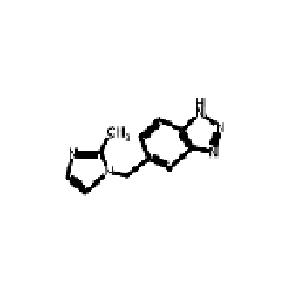 Cc1nccn1Cc1ccc2[nH]nnc2c1